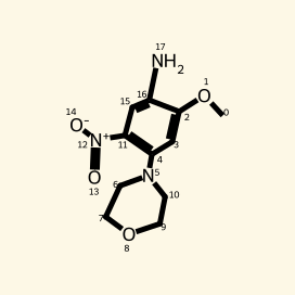 COc1cc(N2CCOCC2)c([N+](=O)[O-])cc1N